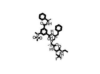 CCNC(=O)[C@H](CC(F)(F)F)NC(=O)[C@H](C)NC[C@H](Cc1ccccc1)NC(=O)c1cc(C(=O)N[C@H](C)c2ccccc2)cc(N(C)S(C)(=O)=O)c1